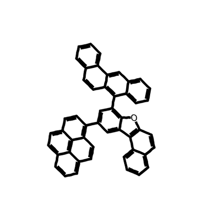 c1ccc2c(-c3cc(-c4ccc5ccc6cccc7ccc4c5c67)cc4c3oc3ccc5ccccc5c34)c3ccc4ccccc4c3cc2c1